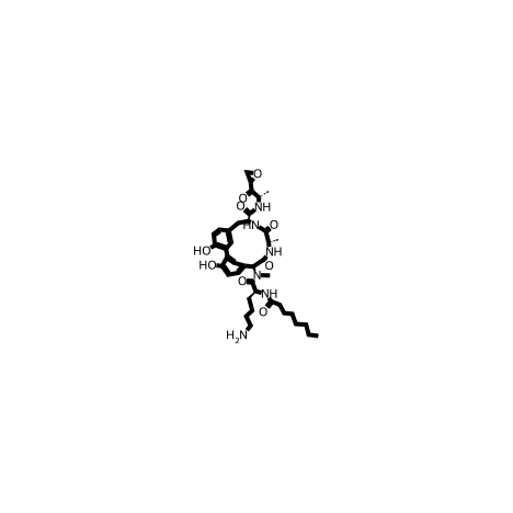 CCCCCCCC(=O)N[C@@H](CCCCN)C(=O)N(C)[C@@H]1C(=O)N[C@@H](C)C(=O)N[C@H](C(=O)N[C@@H](C)C(=O)C2CO2)Cc2ccc(O)c(c2)-c2cc1ccc2O